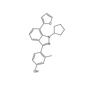 Cc1cc(O)ccc1-c1nn(C2CCCC2)c2c(-c3ccco3)cccc12